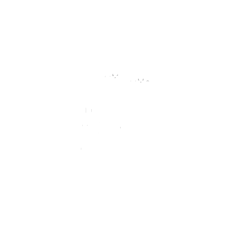 CCOP(=O)(OCC)C(C)C(=O)c1ccc(OC)c(OC)c1